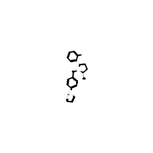 O=C(O)[C@@H]1CC[C@H](c2ccccc2Cl)N1C(=O)c1ccc(-n2cccn2)cc1